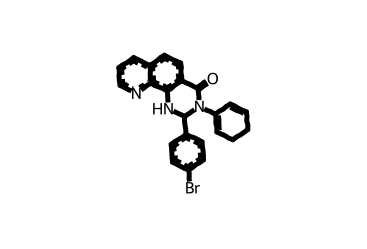 O=C1c2ccc3cccnc3c2NC(c2ccc(Br)cc2)N1C1=CCCC=C1